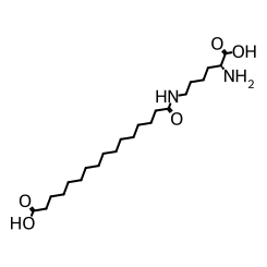 N[C@@H](CCCCNC(=O)CCCCCCCCCCCCCCC(=O)O)C(=O)O